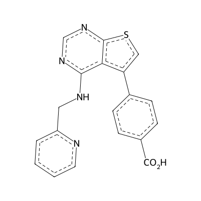 O=C(O)c1ccc(-c2csc3ncnc(NCc4ccccn4)c23)cc1